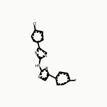 Fc1ccc(-c2csc(Nc3nc(-c4ccc(Cl)cc4)cs3)n2)cc1